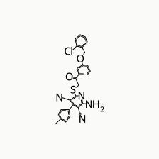 Cc1ccc(-c2c(C#N)c(N)nc(SCC(=O)c3cccc(OCc4ccccc4Cl)c3)c2C#N)cc1